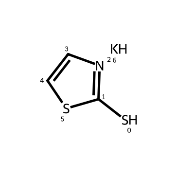 Sc1nccs1.[KH]